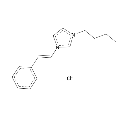 CCCC[n+]1ccn(C=Cc2ccccc2)c1.[Cl-]